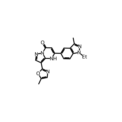 CCn1nc(C)c2cc(-c3cc(=O)n4ncc(-c5ncc(C)o5)c4[nH]3)ccc21